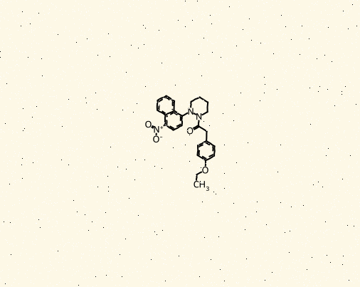 CCOc1ccc(CC(=O)N2CCCCN2c2ccc([N+](=O)[O-])c3ccccc23)cc1